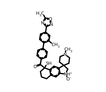 Cc1nc(-c2ccc(-c3ccc(C(=O)C4(S)CCCc5cc6c(cc54)C4(CCN(C)CC4)C[NH+]6[O-])cc3)c(C)c2)no1